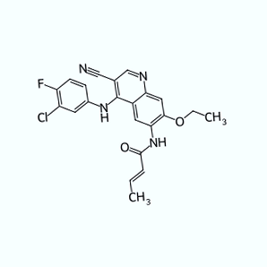 C/C=C/C(=O)Nc1cc2c(Nc3ccc(F)c(Cl)c3)c(C#N)cnc2cc1OCC